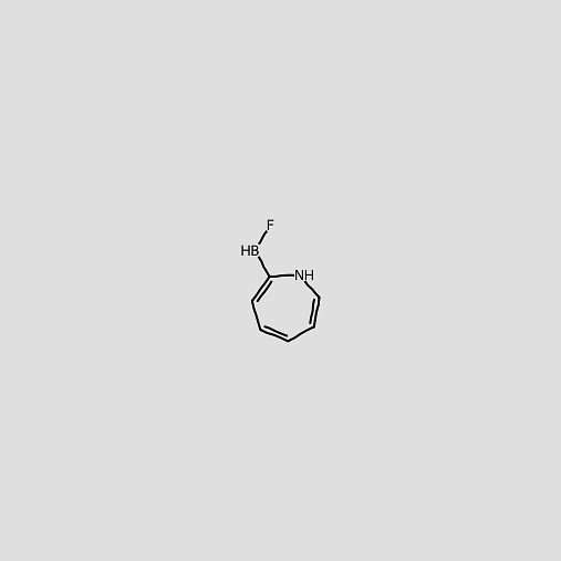 FBC1=CC=CC=CN1